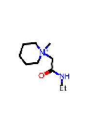 CCNC(=O)C[N+]1(C)CCCCC1